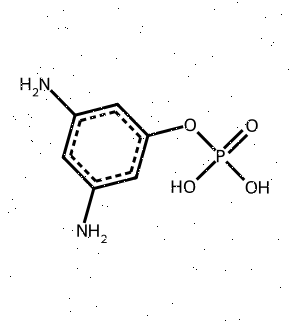 Nc1cc(N)cc(OP(=O)(O)O)c1